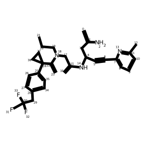 C=C(N)CC(C#Cc1cccc(C)n1)NC(=C)CN(CCC)C(=C)C1(c2ccc(CC(F)(F)F)cc2)CC1